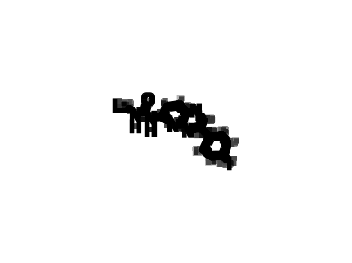 CCNC(=O)Nc1ccc2ncc(-c3ccc(F)cc3)nc2n1